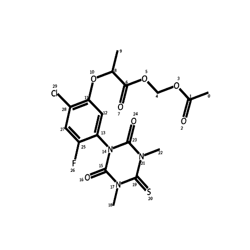 CC(=O)OCOC(=O)C(C)Oc1cc(-n2c(=O)n(C)c(=S)n(C)c2=O)c(F)cc1Cl